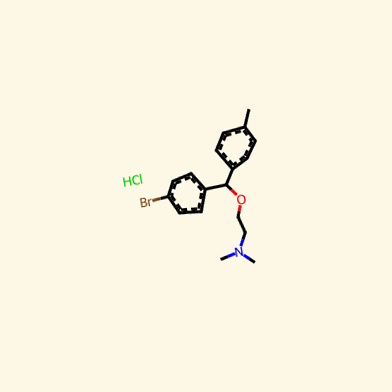 Cc1ccc(C(OCCN(C)C)c2ccc(Br)cc2)cc1.Cl